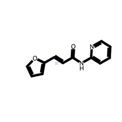 O=C(/C=C/c1ccco1)Nc1ccccn1